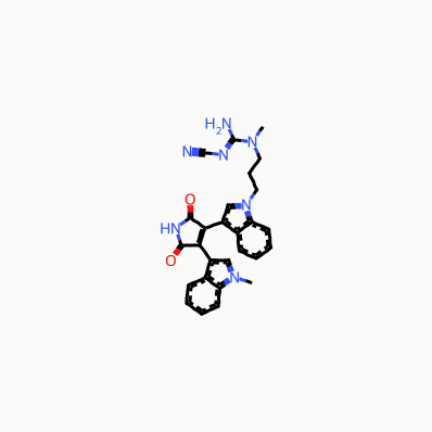 CN(CCCn1cc(C2=C(c3cn(C)c4ccccc34)C(=O)NC2=O)c2ccccc21)C(N)=NC#N